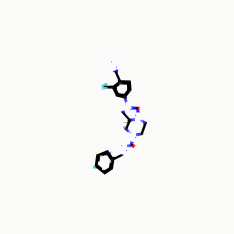 N#Cc1ccc(N2C[C@@H]3CN(C(=O)NCc4ccc(F)cc4)CCN3C2=O)cc1C(F)(F)F